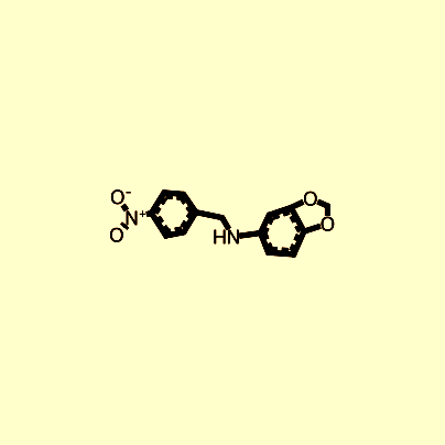 O=[N+]([O-])c1ccc(CNc2ccc3c(c2)OCO3)cc1